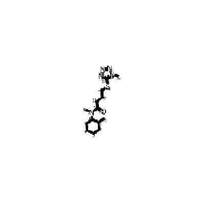 CC1CCCCC1N(C)C(=O)CCCSc1nnnn1C